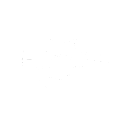 CC(C)(C)c1cc2c(c(C(C)(C)C)c1)C=C1C(Cl)=CC(C(C)(C)C)C=C1P(C(C)(C)C)OO2